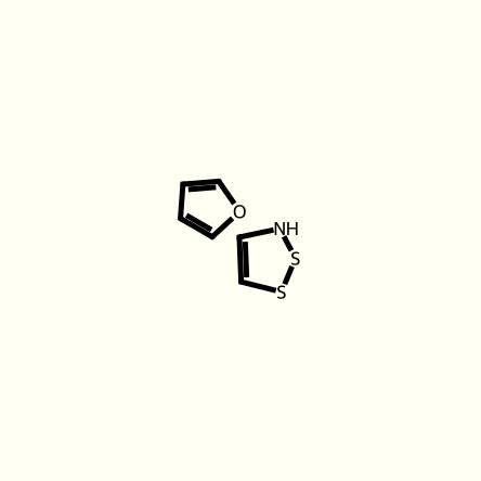 C1=CSSN1.c1ccoc1